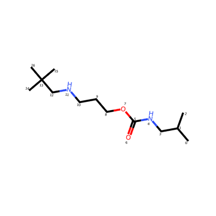 CC(C)CNC(=O)OCCCNCC(C)(C)C